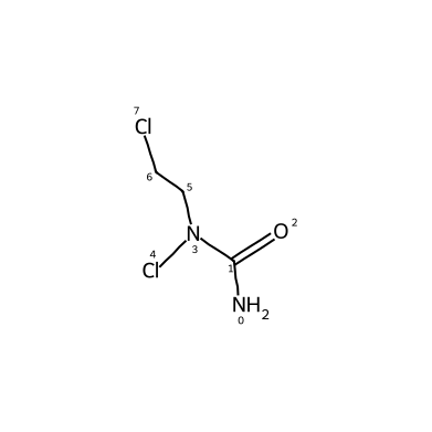 NC(=O)N(Cl)CCCl